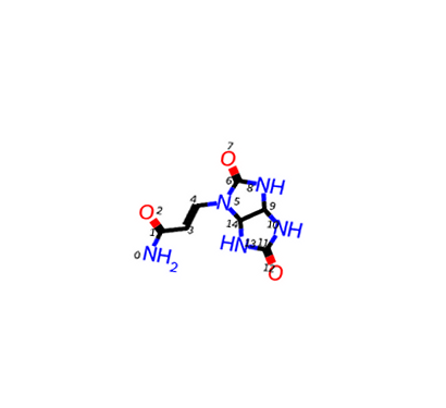 NC(=O)C=CN1C(=O)NC2NC(=O)NC21